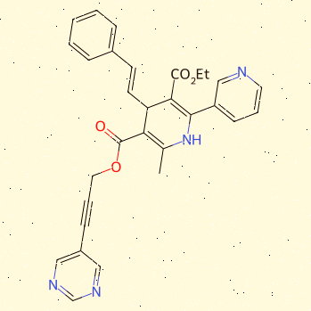 CCOC(=O)C1=C(c2cccnc2)NC(C)=C(C(=O)OCC#Cc2cncnc2)C1/C=C/c1ccccc1